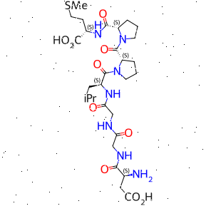 CSCC[C@H](NC(=O)[C@@H]1CCCN1C(=O)[C@@H]1CCCN1C(=O)[C@H](CC(C)C)NC(=O)CNC(=O)CNC(=O)[C@@H](N)CC(=O)O)C(=O)O